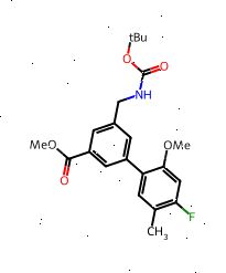 COC(=O)c1cc(CNC(=O)OC(C)(C)C)cc(-c2cc(C)c(F)cc2OC)c1